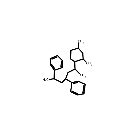 CC1CCC(C(C)CC(CC(C)c2ccccc2)c2ccccc2)C(C)C1